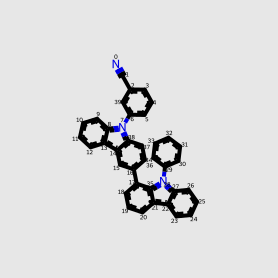 N#Cc1cccc(-n2c3ccccc3c3cc(-c4cccc5c6ccccc6n(-c6ccccc6)c45)ccc32)c1